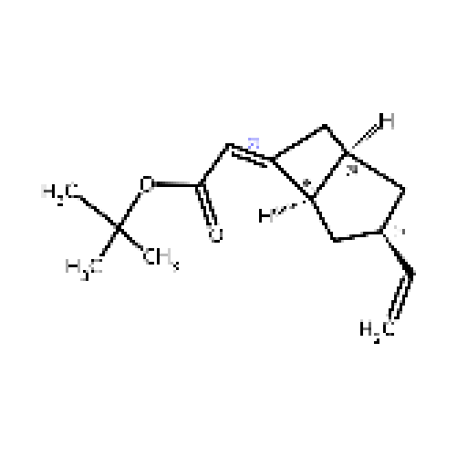 C=C[C@@H]1C[C@@H]2C/C(=C/C(=O)OC(C)(C)C)[C@@H]2C1